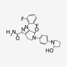 NC(=O)c1nn(-c2c(F)cccc2F)c2c1CCN(c1ccc(N3CCCC3O)cc1)C2=O